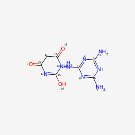 Nc1nc(N)nc(N)n1.O=C1CC(=O)NC(O)=N1